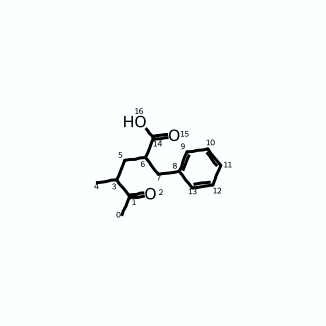 CC(=O)C(C)CC(Cc1ccccc1)C(=O)O